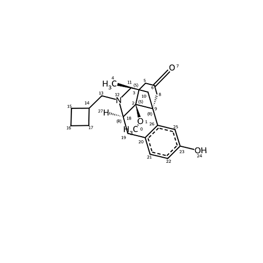 CO[C@@]12[C@@H](C)CC(=O)C[C@@]13CCN(CC1CCC1)[C@@H]2Cc1ccc(O)cc13